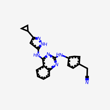 N#CCc1ccc(Nc2nc(Nc3cc(C4CC4)n[nH]3)c3ccccc3n2)cc1